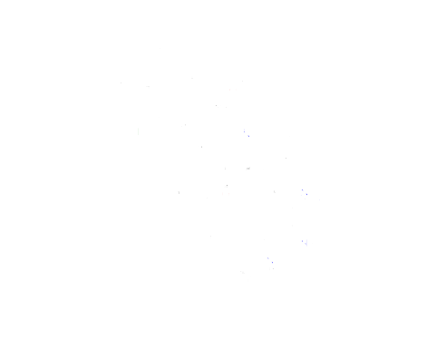 Cc1nc2c(N)c(-c3cccn4c(C(=O)c5cc(F)c(F)c(F)c5)ccc34)c(OC(F)F)cc2n1C